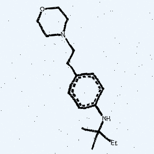 CCC(C)(C)Nc1ccc(CCN2CCOCC2)cc1